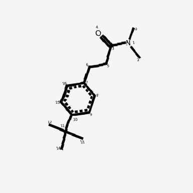 CN(C)C(=O)CCc1ccc(C(C)(C)C)cc1